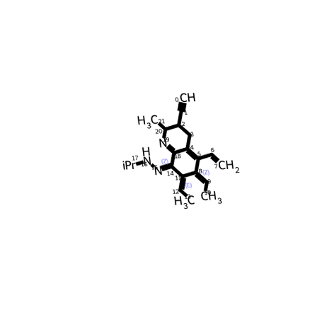 C#CC1CC2=C(C=C)C(=C/C)/C(=C\C)C(=N/NC(C)C)/C2=NC1C